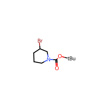 CC(C)(C)OC(=O)N1CCCC(Br)C1